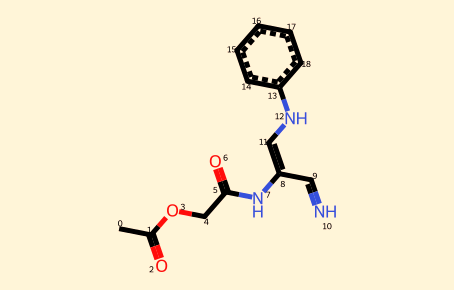 CC(=O)OCC(=O)N/C(C=N)=C/Nc1ccccc1